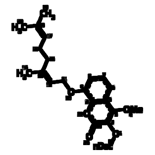 CCCCCCCCCCOc1c(OC)c2cccc(OCC=C(C)CCC=C(C)C)c2oc1=O